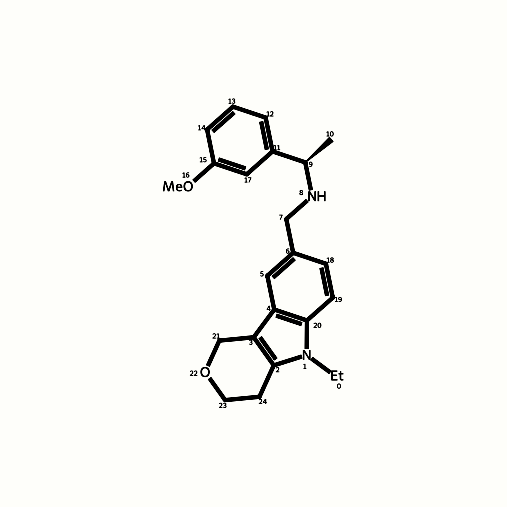 CCn1c2c(c3cc(CN[C@H](C)c4cccc(OC)c4)ccc31)COCC2